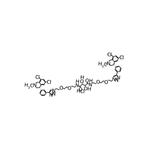 CN1Cc2c(Cl)cc(Cl)cc2[C@H](c2cccc(-c3cn(CCOCCOCCNC(=O)C(O)C(O)C(=O)NCCOCCOCCn4cc(-c5cccc([C@@H]6CN(C)Cc7c(Cl)cc(Cl)cc76)c5)nn4)nn3)c2)C1.Cl